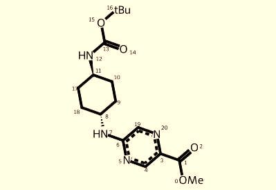 COC(=O)c1cnc(N[C@H]2CC[C@H](NC(=O)OC(C)(C)C)CC2)cn1